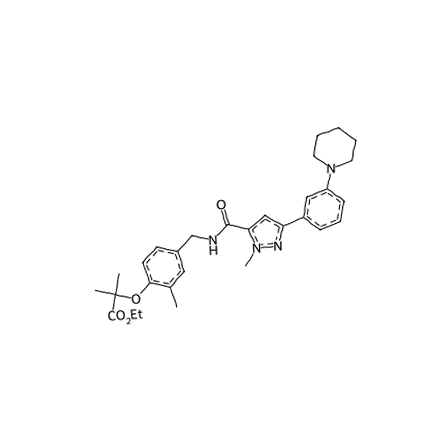 CCOC(=O)C(C)(C)Oc1ccc(CNC(=O)c2cc(-c3cccc(N4CCCCC4)c3)nn2C)cc1C